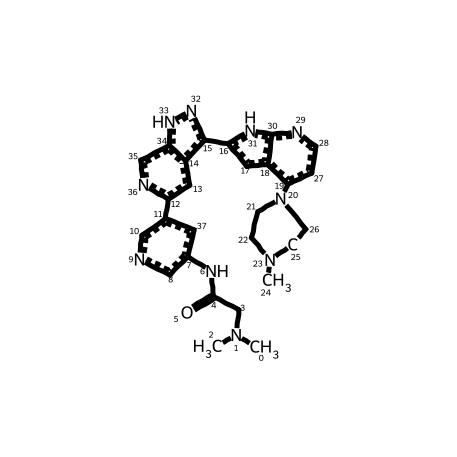 CN(C)CC(=O)Nc1cncc(-c2cc3c(-c4cc5c(N6CCN(C)CC6)ccnc5[nH]4)n[nH]c3cn2)c1